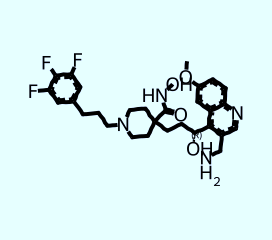 COc1ccc2ncc(CN)c([C@H](O)CCC3(C(=O)NO)CCN(CCCc4cc(F)c(F)c(F)c4)CC3)c2c1